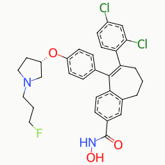 O=C(NO)c1ccc2c(c1)CCCC(c1ccc(Cl)cc1Cl)=C2c1ccc(O[C@H]2CCN(CCCF)C2)cc1